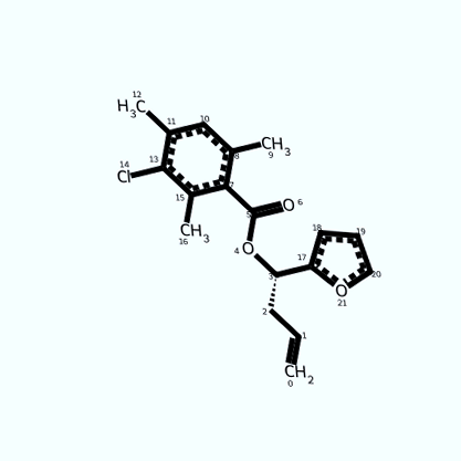 C=CC[C@H](OC(=O)c1c(C)cc(C)c(Cl)c1C)c1ccco1